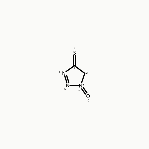 O=[N+]1CC(=S)N=N1